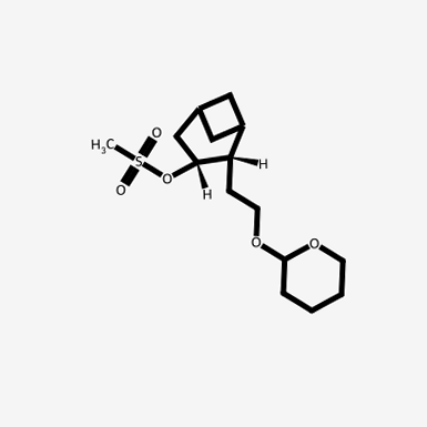 CS(=O)(=O)O[C@@H]1CC2CC(C2)[C@@H]1CCOC1CCCCO1